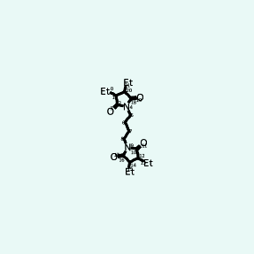 CCC1C(=O)N(CCCCN2C(=O)C(CC)C(CC)C2=O)C(=O)C1CC